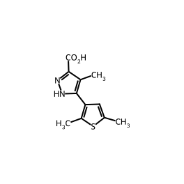 Cc1cc(-c2[nH]nc(C(=O)O)c2C)c(C)s1